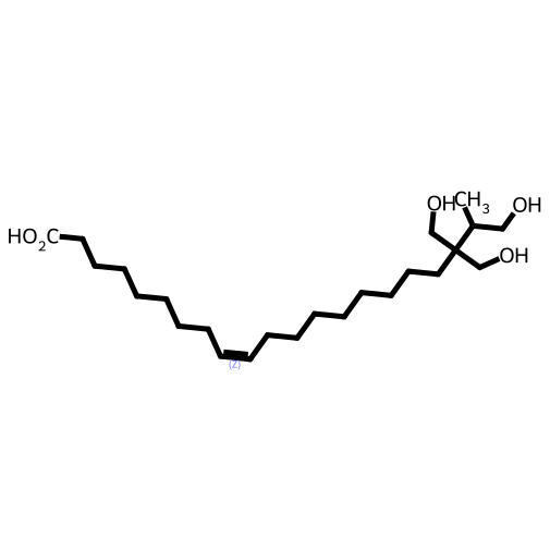 CC(CO)C(CO)(CO)CCCCCCCC/C=C\CCCCCCCC(=O)O